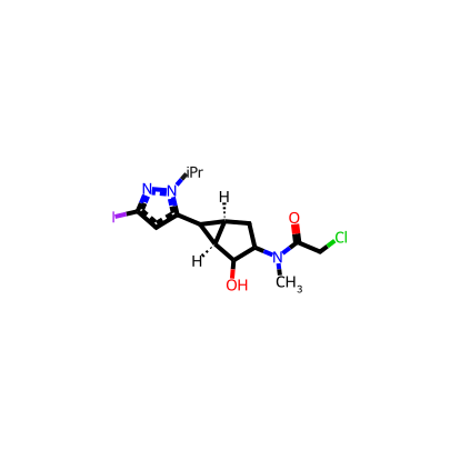 CC(C)n1nc(I)cc1C1[C@@H]2C(O)C(N(C)C(=O)CCl)C[C@H]12